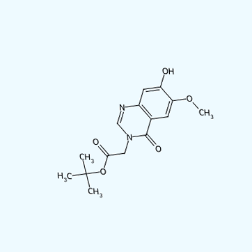 COc1cc2c(=O)n(CC(=O)OC(C)(C)C)cnc2cc1O